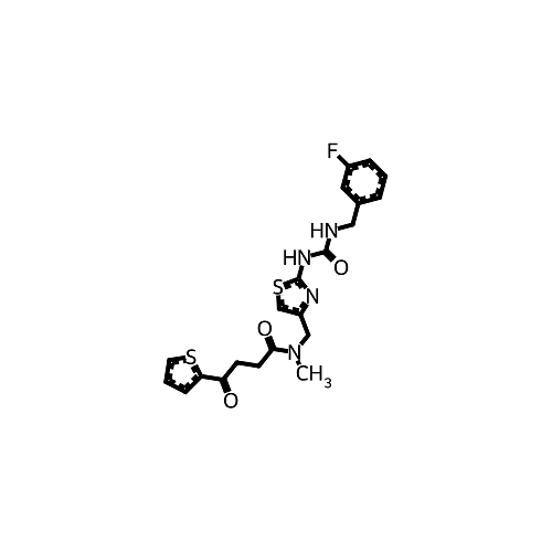 CN(Cc1csc(NC(=O)NCc2cccc(F)c2)n1)C(=O)CCC(=O)c1cccs1